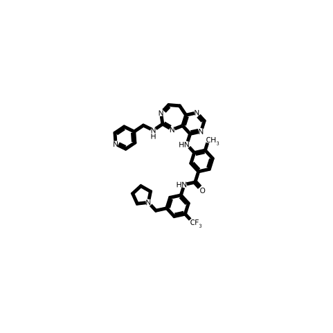 Cc1ccc(C(=O)Nc2cc(CN3CCCC3)cc(C(F)(F)F)c2)cc1Nc1ncnc2c1N=C(NCc1ccncc1)N=CC2